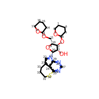 O[C@H]1[C@H](OC2CCCCO2)[C@@H](COC2CCCCO2)O[C@H]1n1cc2c3c(ncnc31)SCCC2